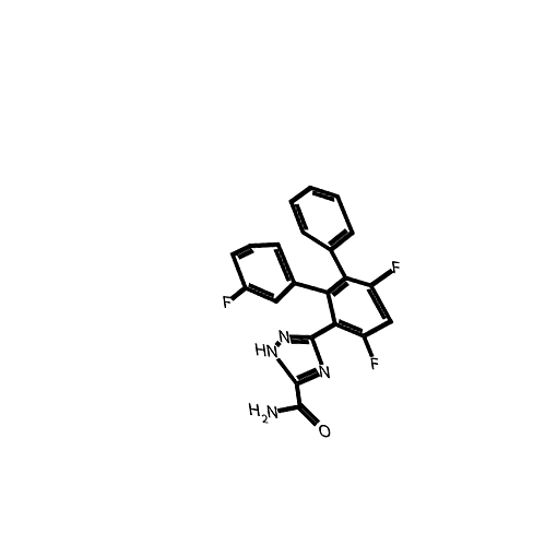 NC(=O)c1nc(-c2c(F)cc(F)c(-c3ccccc3)c2-c2cccc(F)c2)n[nH]1